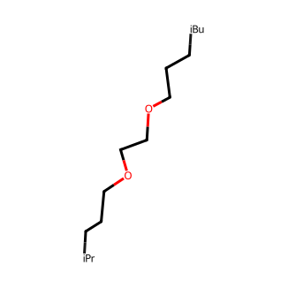 CCC(C)CCCOCCOCCCC(C)C